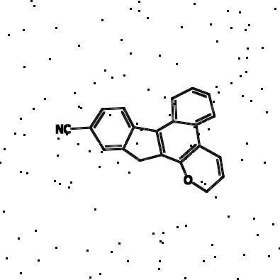 N#Cc1ccc2c(c1)Cc1c3c(c4ccccc4c1-2)C=CCO3